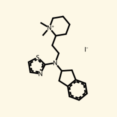 C[N+]1(C)CCCCC1CCN(c1nccs1)C1Cc2ccccc2C1.[I-]